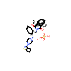 O=C1[C@@H]2[C@H]3CC[C@H](C3)[C@@H]2C(=O)N1C[C@@H]1CCCC[C@H]1CN1CCN(c2nsc3ccccc23)CC1.O=S(=O)(O)O